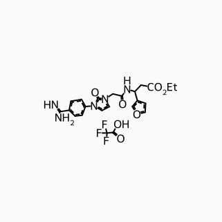 CCOC(=O)CC(NC(=O)Cn1ccn(-c2ccc(C(=N)N)cc2)c1=O)c1ccoc1.O=C(O)C(F)(F)F